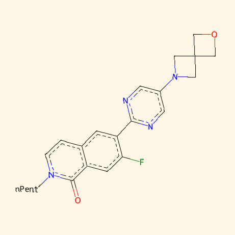 CCCCCn1ccc2cc(-c3ncc(N4CC5(COC5)C4)cn3)c(F)cc2c1=O